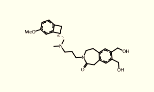 COc1ccc2c(c1)[C@@H](CN(C)CCCN1CCc3cc(CO)c(CO)cc3CC1=O)C2